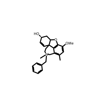 COc1cc(C)c2c3c1OC1C[C@H](O)C=CC31CC[N+](C)(Cc1ccccc1)C2